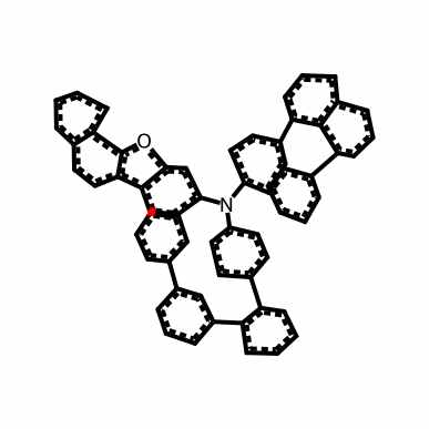 c1ccc(-c2cccc(-c3ccccc3-c3ccc(N(c4ccc(-c5cccc6cccc(-c7ccccc7)c56)cc4)c4ccc5c(c4)oc4c6ccccc6ccc54)cc3)c2)cc1